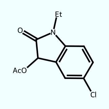 CCN1C(=O)C(OC(C)=O)c2cc(Cl)ccc21